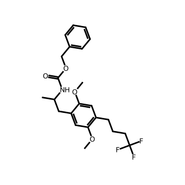 COc1cc(CC(C)NC(=O)OCc2ccccc2)c(OC)cc1CCCC(F)(F)F